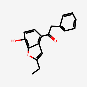 CCc1cc2c(C(=O)Cc3ccccc3)ccc(O)c2o1